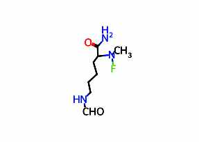 CN(F)C(CCCCNC=O)C(N)=O